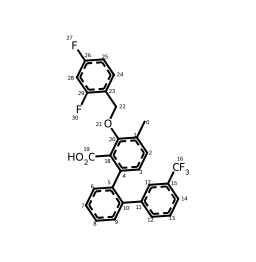 Cc1ccc(-c2ccccc2-c2cccc(C(F)(F)F)c2)c(C(=O)O)c1OCc1ccc(F)cc1F